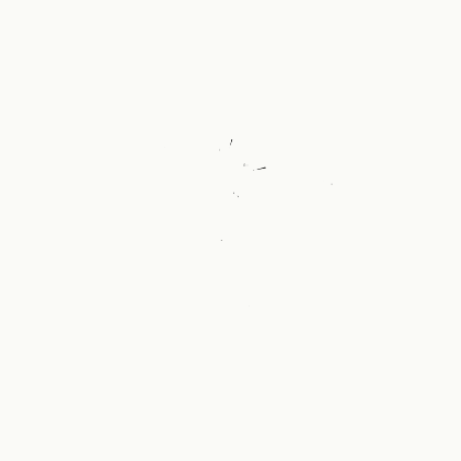 CS(=O)(=O)O.Cc1cc([C@@H](O)[C@@H](C)N2CCC(O)(c3ccc(Cl)cc3)CC2)cc(C)c1O